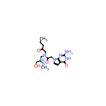 CCCC(=O)CN(C[C@H](CO)NC)C(=O)Cn1ccc2c(=O)[nH]c(N)nc21